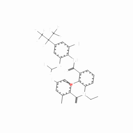 CCN(C(=O)c1ccc(F)cc1C)c1cccc(C(=O)Nc2c(Cl)cc(C(F)(C(F)(F)F)C(F)(F)F)cc2OC(F)F)c1OC